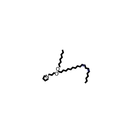 CCCCC/C=C\C/C=C\CCCCCCCCCC(OCCCCCCCC)OCCCN1CCCC1